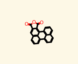 O=c1oc(=O)c2c1cc1cccc3c4cccc5cccc(c54)c2c13